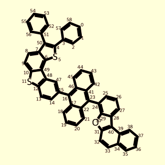 c1ccc(-c2sc3c(ccc4sc5ccc(-c6c7ccccc7c(-c7cccc8c7oc7ccc9ccccc9c78)c7ccccc67)cc5c43)c2-c2ccccc2)cc1